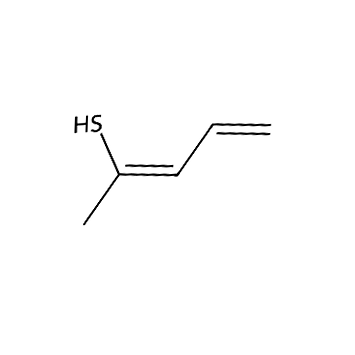 C=C/C=C(/C)S